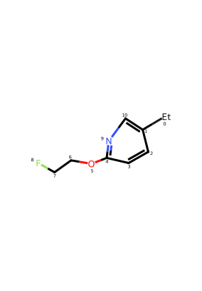 CCc1ccc(OCCF)nc1